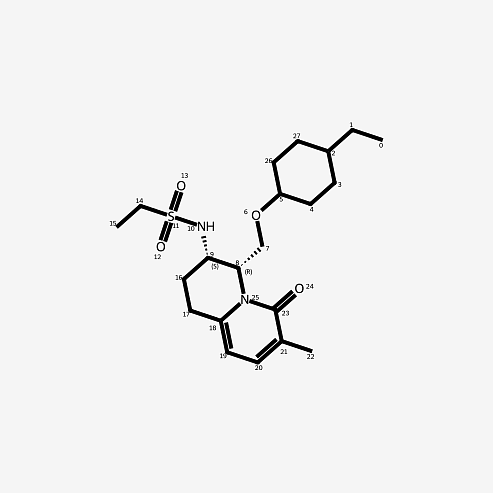 CCC1CCC(OC[C@H]2[C@@H](NS(=O)(=O)CC)CCc3ccc(C)c(=O)n32)CC1